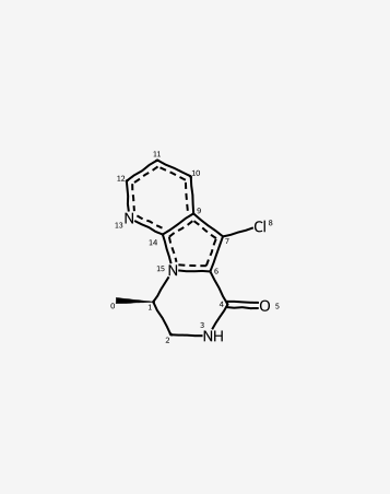 C[C@@H]1CNC(=O)c2c(Cl)c3cccnc3n21